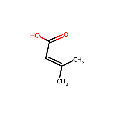 [CH2]C(C)=CC(=O)O